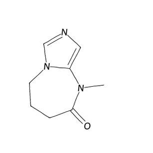 CN1C(=O)CCCn2cncc21